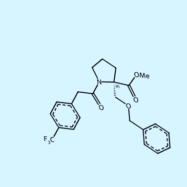 COC(=O)[C@]1(COCc2ccccc2)CCCN1C(=O)Cc1ccc(C(F)(F)F)cc1